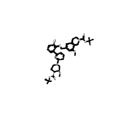 COc1cc(COc2c(Cl)cccc2-c2cccc(N3CC[C@H](C(=O)OC(C)(C)C)[C@H](OC)C3)n2)cc2c1CN(C(=O)OC(C)(C)C)CC2